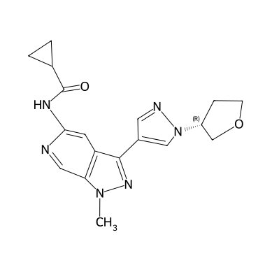 Cn1nc(-c2cnn([C@@H]3CCOC3)c2)c2cc(NC(=O)C3CC3)ncc21